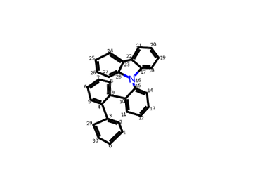 c1ccc(-c2ccccc2-c2ccccc2-n2c3ccccc3c3ccccc32)cc1